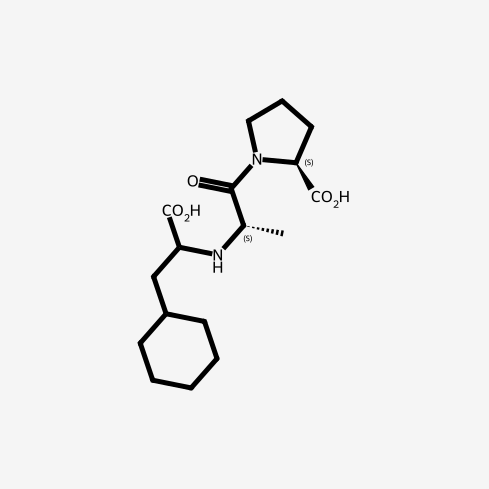 C[C@H](NC(CC1CCCCC1)C(=O)O)C(=O)N1CCC[C@H]1C(=O)O